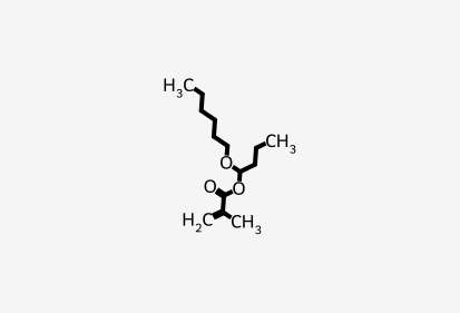 C=C(C)C(=O)OC(CCC)OCCCCCC